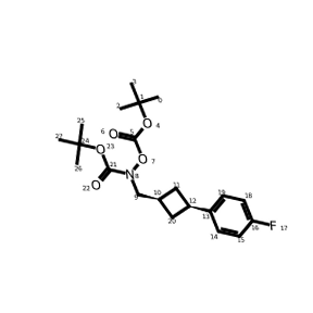 CC(C)(C)OC(=O)ON(C[C@H]1C[C@@H](c2ccc(F)cc2)C1)C(=O)OC(C)(C)C